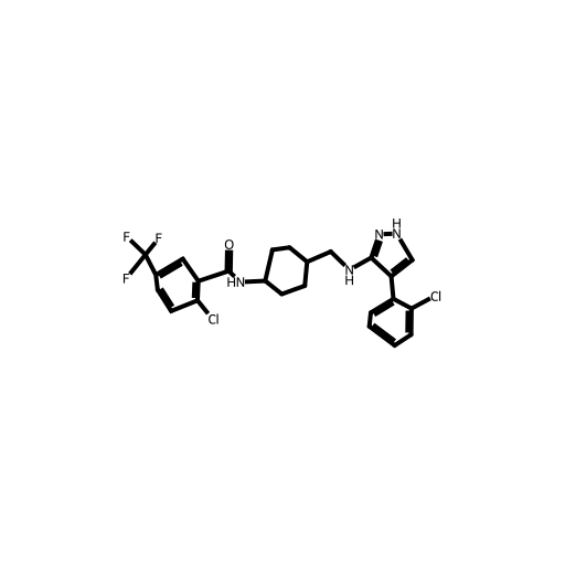 O=C(NC1CCC(CNc2n[nH]cc2-c2ccccc2Cl)CC1)c1cc(C(F)(F)F)ccc1Cl